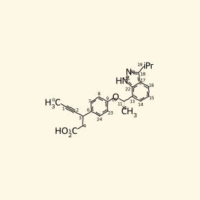 CC#CC(CC(=O)O)c1ccc(O[C@@H](C)c2cccc3c(C(C)C)n[nH]c23)cc1